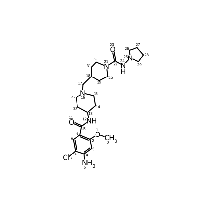 COc1cc(N)c(Cl)cc1C(=O)NC1CCN(CC2CCN(C(=O)NN3CCCC3)CC2)CC1